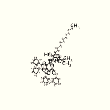 CCCCCCCCCCCCC=C[C@@H](O)[C@H](C[C@@H]1O[C@H](COCc2ccccc2)[C@H](OCc2ccccc2)[C@H](OCc2ccccc2)[C@H]1OCc1ccccc1)NC(=O)OC(C)(C)C